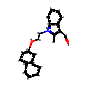 Cc1c(C=O)c2ccccc2n1CCOc1ccc2ccccc2c1